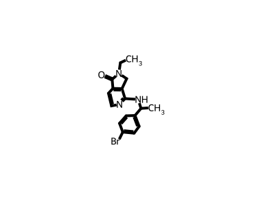 CCN1Cc2c(ccnc2NC(C)c2ccc(Br)cc2)C1=O